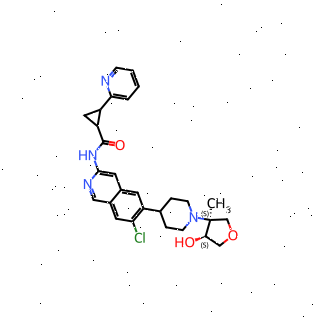 C[C@]1(N2CCC(c3cc4cc(NC(=O)C5CC5c5ccccn5)ncc4cc3Cl)CC2)COC[C@H]1O